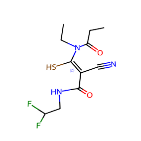 CCC(=O)N(CC)/C(S)=C(\C#N)C(=O)NCC(F)F